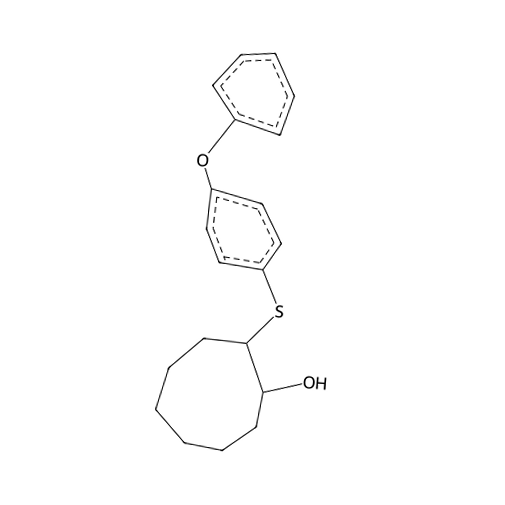 OC1CCCCCCC1Sc1ccc(Oc2ccccc2)cc1